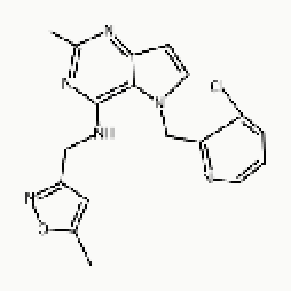 Cc1nc(NCc2cc(C)on2)c2c(ccn2Cc2ncccc2Cl)n1